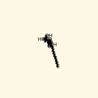 C=C1[C@H](n2cc(F)c(NC(=O)CCCCCCCCCCCCCCCCC)nc2=O)O[C@H](CO)[C@H]1O